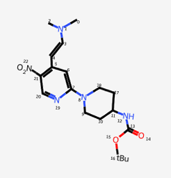 CN(C)C=Cc1cc(N2CCC(NC(=O)OC(C)(C)C)CC2)ncc1[N+](=O)[O-]